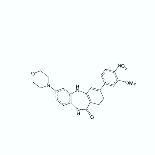 COc1cc(C2=CC3=C(CC2)C(=O)Nc2ccc(N4CCOCC4)cc2N3)ccc1[N+](=O)[O-]